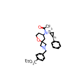 CCOC(=O)c1ccc(CN2CC3(CC(N(C(=O)C(F)(F)F)[C@@H]4C[C@H]4c4ccccc4)CCO3)C2)cc1